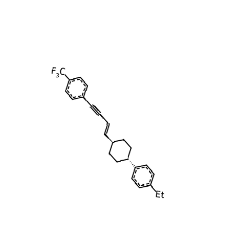 CCc1ccc([C@H]2CC[C@H](/C=C/C#Cc3ccc(C(F)(F)F)cc3)CC2)cc1